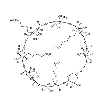 C[C@H]1O[C@@H]2O[C@@H]3CO[C@H](O[C@H]4C[C@@H](O)[C@@H](O[C@@H]5CO[C@H](O[C@H]6[C@H](O)[C@@H](O)[C@@H](O[C@H]7[C@H](O)[C@@H](O)[C@@H](O[C@H]8C[C@@H](O)[C@@H](O[C@H]9[C@H](O)[C@@H](O)[C@@H](O[C@H]1C[C@H]2O)O[C@@H]9CSCCC(=O)O)O[C@@H]8C)O[C@@H]7CSCCC(=O)O)O[C@@H]6CSCCC(=O)O)[C@H](O)[C@H]5O)O[C@@H]4CSCCC(=O)O)[C@H](O)C3